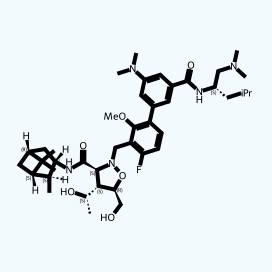 COc1c(-c2cc(C(=O)N[C@@H](CC(C)C)CN(C)C)cc(N(C)C)c2)ccc(F)c1CN1O[C@@H](CO)[C@H]([C@H](C)O)[C@H]1C(=O)N[C@H]1C[C@H]2C[C@@H]([C@@H]1C)C2(C)C